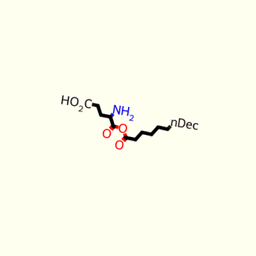 CCCCCCCCCCCCCCCC(=O)OC(=O)C(N)CCC(=O)O